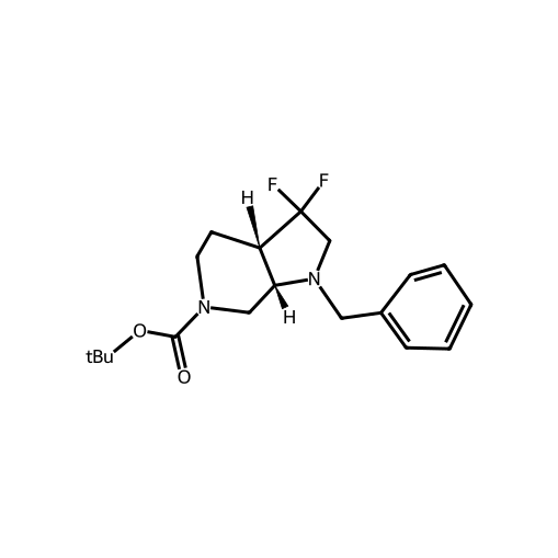 CC(C)(C)OC(=O)N1CC[C@H]2[C@@H](C1)N(Cc1ccccc1)CC2(F)F